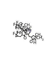 C/N=C\C(CC1CC(C)(C)NC1=O)NC(=O)C(CC1CC1(F)F)NC(=O)C(NC(=O)C(F)(F)F)C(C)(C)C